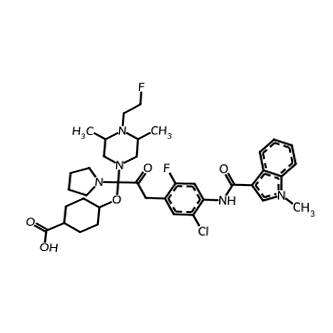 CC1CN(C(OC2CCC(C(=O)O)CC2)(C(=O)Cc2cc(Cl)c(NC(=O)c3cn(C)c4ccccc34)cc2F)N2CCCC2)CC(C)N1CCF